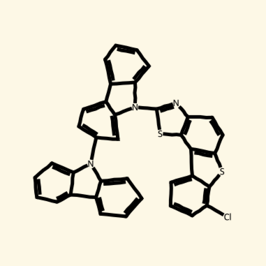 Clc1cccc2c1sc1ccc3nc(-n4c5ccccc5c5ccc(-n6c7ccccc7c7ccccc76)cc54)sc3c12